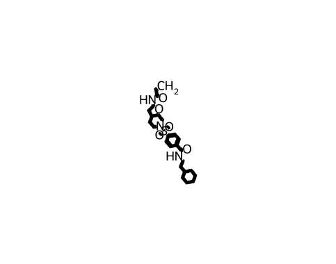 C=CC(=O)NC1CC2CCN(S(=O)(=O)c3ccc(C(=O)NCCC4CCCCC4)cc3)CC2O1